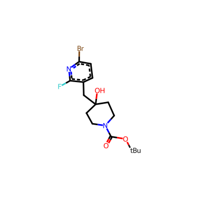 CC(C)(C)OC(=O)N1CCC(O)(Cc2ccc(Br)nc2F)CC1